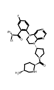 CCN(C(=O)c1cc(F)ccc1N1CCN([C@@H]2CCN(C(=O)[C@@H]3CC[C@H](N)CN3)C2)c2ncncc21)C(C)C